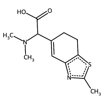 Cc1nc2c(s1)CCC(C(C(=O)O)N(C)C)=C2